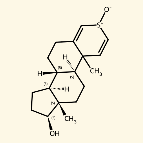 CC12C=C[S+]([O-])C=C1CC[C@@H]1[C@@H]2CC[C@]2(C)[C@@H](O)CC[C@@H]12